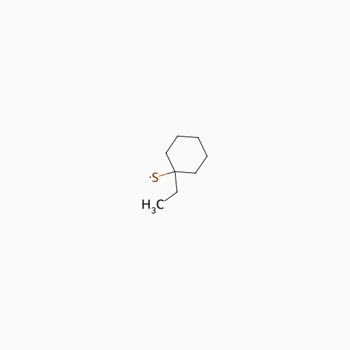 CCC1([S])CCCCC1